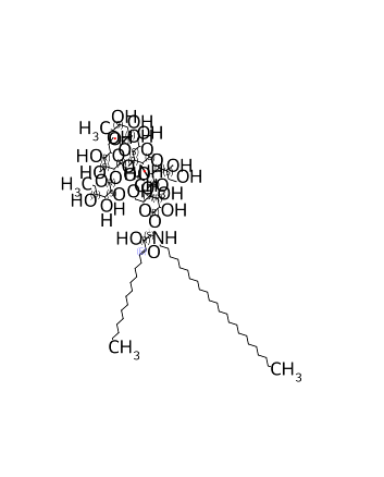 CCCCCCCCCCCCC/C=C/[C@@H](O)[C@H](CO[C@@H]1OC(CO)[C@@H](O[C@@H]2OC(CO)[C@H](O)[C@H](O[C@@H]3OC(CO)[C@@H](O[C@H]4OC(C)[C@@H](O)C(O)[C@@H]4O)[C@H](O[C@@H]4OC(CO)[C@H](O)[C@H](O)C4O[C@H]4OC(C)[C@@H](O)C(O)[C@@H]4O)C3NC(C)=O)C2O)[C@H](O)C1O)NC(=O)CCCCCCCCCCCCCCCCCCCCCCC